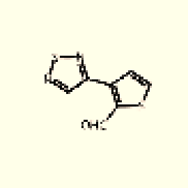 O=Cc1sccc1-c1cnsn1